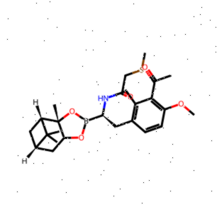 COc1ccc(C[C@H](NC(=O)CSC)B2OC3C[C@@H]4C[C@@H](C4(C)C)[C@]3(C)O2)c(C)c1C(C)=O